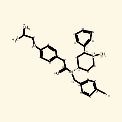 CC(C)COc1ccc(CC(=O)N(Cc2ccc(F)cc2)[C@H]2CCN(C)[C@H](c3ccccc3)C2)cc1